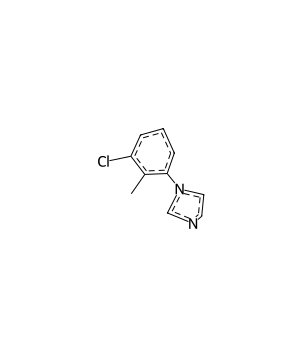 Cc1c(Cl)cccc1-n1ccnc1